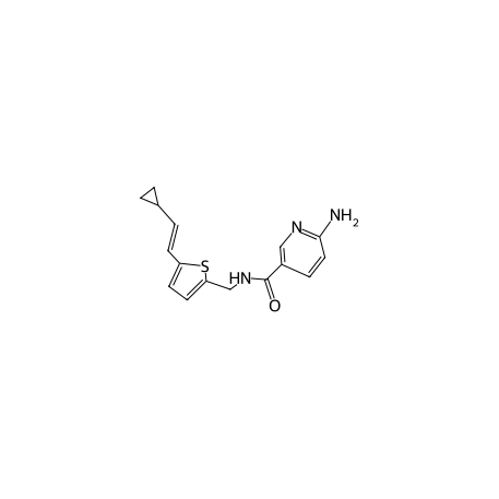 Nc1ccc(C(=O)NCc2ccc(C=CC3CC3)s2)cn1